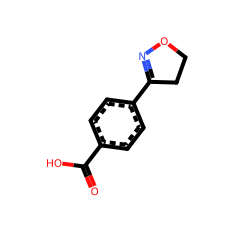 O=C(O)c1ccc(C2=NOCC2)cc1